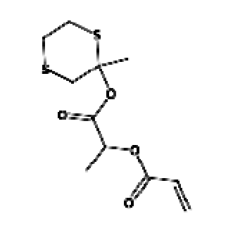 C=CC(=O)OC(C)C(=O)OC1(C)CSCCS1